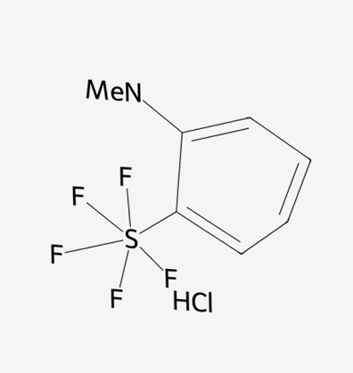 CNc1ccccc1S(F)(F)(F)(F)F.Cl